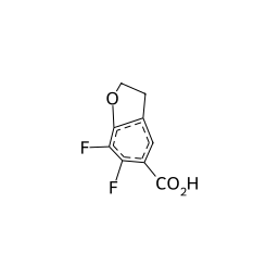 O=C(O)c1cc2c(c(F)c1F)OCC2